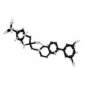 CC1(CN2CCc3nc(-c4cc(Cl)cc(Cl)c4)ccc3C2)Cn2cc([N+](=O)[O-])nc2O1